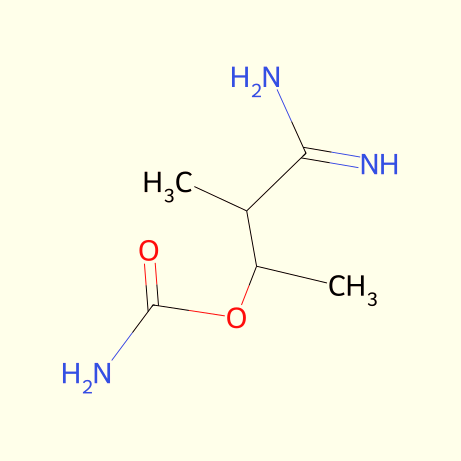 CC(OC(N)=O)C(C)C(=N)N